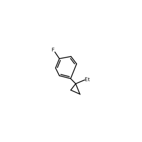 CCC1(c2ccc(F)cc2)CC1